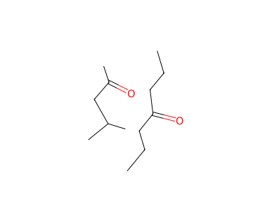 CC(=O)CC(C)C.CCCC(=O)CCC